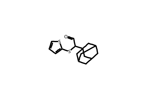 O=CC(Sc1cccs1)C12CC3CC(CC(C3)C1)C2